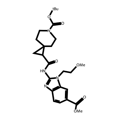 COCCn1c(NC(=O)C2CC23CCN(C(=O)OC(C)(C)C)CC3)nc2ccc(C(=O)OC)cc21